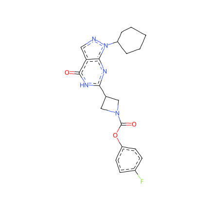 O=C(Oc1ccc(F)cc1)N1CC(c2nc3c(cnn3C3CCCCC3)c(=O)[nH]2)C1